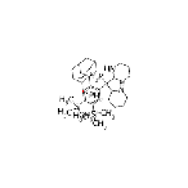 C[Si](C)(C)c1cc(C23CC4CC(CC(C4)C2CP)C3)c(C(P)(C2CCCCN2)C2CCCCN2)cc1[Si](C)(C)C